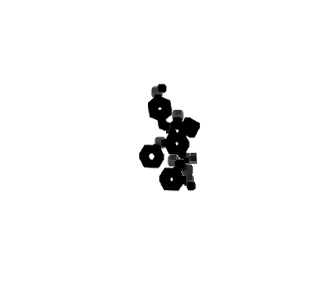 COc1ccc(CN2C(=O)C3(CCC3)c3cc(NS(=O)(=O)c4ccccc4OC)cc(OC4CCCCC4)c32)cc1